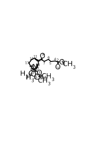 COC(=O)CCCCC(=O)C1=CCCC2[C@@H](C)CC1N2C(=O)OC(C)(C)C